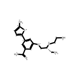 CC[C@H](COc1cc(C(N)=O)cc(-c2ccc(C)s2)c1)OCCO